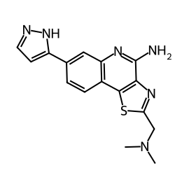 CN(C)Cc1nc2c(N)nc3cc(-c4ccn[nH]4)ccc3c2s1